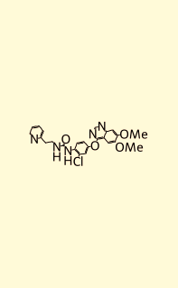 COc1cc2ncnc(Oc3ccc(NC(=O)NCCc4ccccn4)c(Cl)c3)c2cc1OC